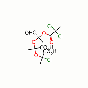 CC(Cl)(Cl)C(=O)O[C@](C)(C=O)OC(C)(OC(C)(Cl)C(=O)O)C(=O)O